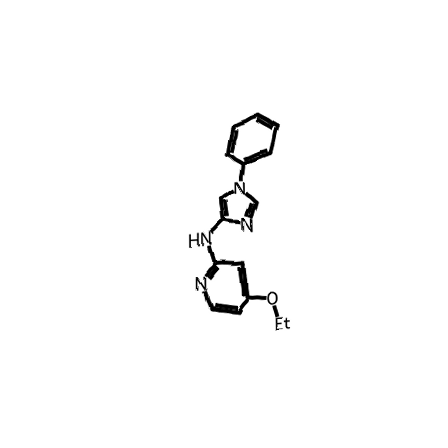 CCOc1ccnc(Nc2cn(-c3ccccc3)cn2)c1